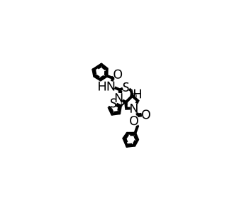 O=C(NC1=N[C@@]2(c3cccs3)CN(C(=O)OCc3ccccc3)C[C@H]2CS1)c1ccccc1